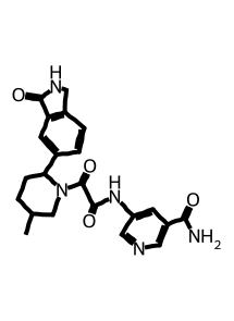 CC1CCC(c2ccc3c(c2)C(=O)NC3)N(C(=O)C(=O)Nc2cncc(C(N)=O)c2)C1